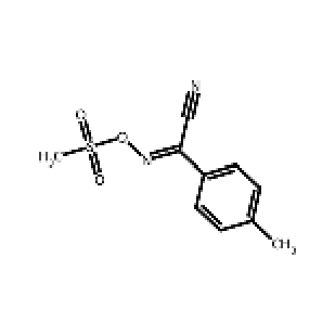 Cc1ccc(/C(C#N)=N/OS(C)(=O)=O)cc1